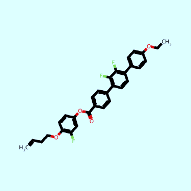 C=CCCOc1ccc(OC(=O)c2ccc(-c3ccc(-c4ccc(OCC)cc4)c(F)c3F)cc2)cc1F